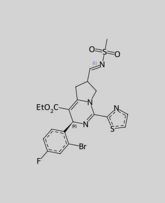 CCOC(=O)C1=C2CC(/C=N/S(C)(=O)=O)CN2C(c2nccs2)=N[C@H]1c1ccc(F)cc1Br